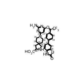 Nc1nc(O[C@H](c2ccc(-c3ccc4[nH]c(=O)oc4c3)cc2)C(F)(F)F)cc(N2CCC3(CC2)CNC(C(=O)O)C3)n1